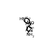 Nc1ccc(C(=O)N2C3CCC2CNC3)cn1